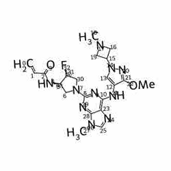 C=CC(=O)N[C@@H]1CN(c2nc(Nc3cn(C4CN(C)C4)nc3OC)c3ncn(C)c3n2)C[C@@H]1F